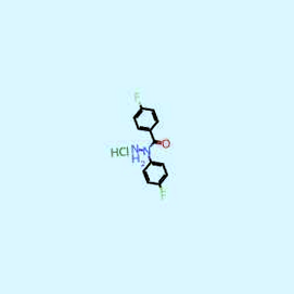 Cl.NN(C(=O)c1ccc(F)cc1)c1ccc(F)cc1